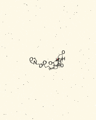 C[C@@H](CCC(=O)OCCN1CCOCC1)[C@H]1CC[C@H]2[C@@H]3C(=O)C[C@@H]4CC(=O)CC[C@]4(C)[C@H]3CC(=O)[C@]12C